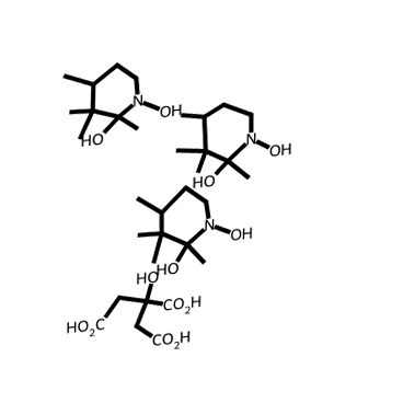 CC1CCN(O)C(C)(O)C1(C)C.CC1CCN(O)C(C)(O)C1(C)C.CC1CCN(O)C(C)(O)C1(C)C.O=C(O)CC(O)(CC(=O)O)C(=O)O